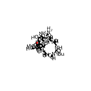 CC[C@H](C)[C@@H]1NC(=O)CNC(=O)C2Cc3c(n(CCCCN)c4cc(OC)ccc34)[S@+]([O-])CC(NC(=O)CNC1=O)C(=O)N[C@@H](CC(N)=O)C(=O)N1C[C@H](O)C[C@H]1C(=O)N[C@@H]([C@@H](C)[C@@H](O)CO)C(=O)N2